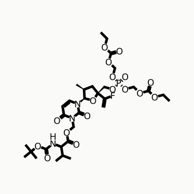 C=C(F)[C@@]1(COP(=O)(OCOC(=O)OCC)OCOC(=O)OCC)C[C@H](C)[C@H](n2ccc(=O)n(COC(=O)C(NC(=O)OC(C)(C)C)C(C)C)c2=O)O1